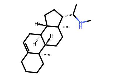 CNC(C)[C@H]1CC[C@H]2[C@@H]3CC=C4CCCC[C@]4(C)[C@H]3CC[C@]12C